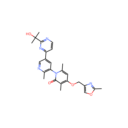 Cc1nc(COc2cc(C)n(-c3cc(-c4ccnc(C(C)(C)O)n4)cnc3C)c(=O)c2C)co1